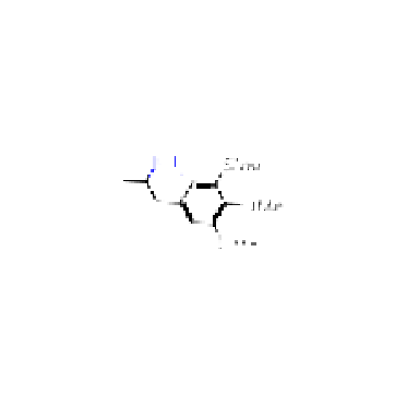 COc1cc(CC(C)N)cc(SC)c1OC